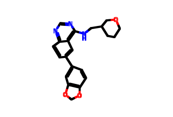 c1nc(NCC2CCCOC2)c2cc(-c3ccc4c(c3)OCO4)ccc2n1